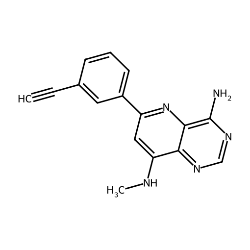 C#Cc1cccc(-c2cc(NC)c3ncnc(N)c3n2)c1